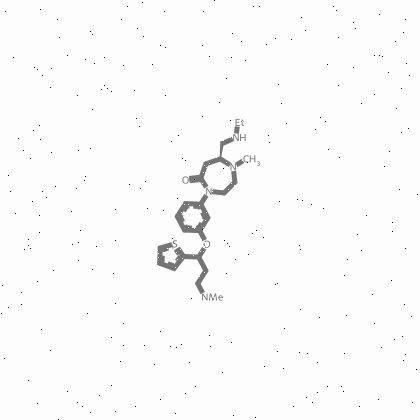 CCNC[C@@H]1CC(=O)N(c2cccc(OC(CCNC)c3cccs3)c2)CCN1C